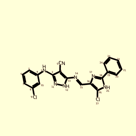 N#Cc1c(Nc2cccc(Cl)c2)n[nH]c1/N=C/c1nc(-c2ccccc2)[nH]c1Cl